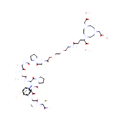 CC[C@H](C)[C@H](NC(=O)[C@H](CO)NC(=O)[C@@H]1CCCN1C(=O)C(S)NC(=O)COCCOCCNC(=O)CCC(C(=O)OC(C)(C)C)N1CCN(CC(=O)OC(C)(C)C)CCN(CC(=O)OC(C)(C)C)CC1)C(=O)N[C@@H](Cc1ccc(O)cc1)C(=O)N1CCC[C@H]1C(=O)N[C@@H](CC(C)C)C(=O)N[C@@H](CC(C)C)C(=O)N[C@@H](CS)C(N)=O